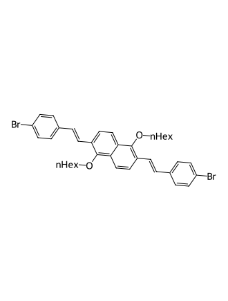 CCCCCCOc1c(C=Cc2ccc(Br)cc2)ccc2c(OCCCCCC)c(C=Cc3ccc(Br)cc3)ccc12